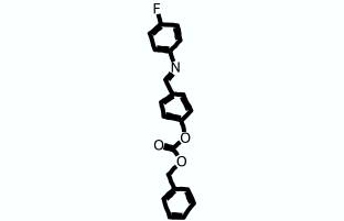 O=C(OCc1ccccc1)Oc1ccc(C=Nc2ccc(F)cc2)cc1